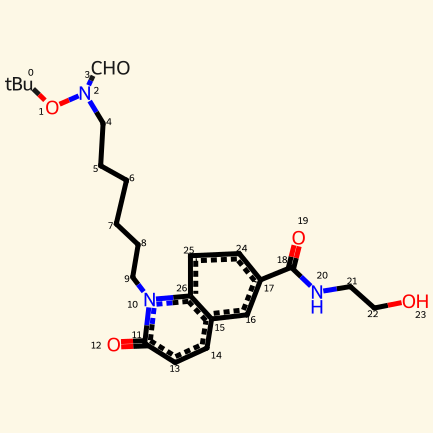 CC(C)(C)ON(C=O)CCCCCCn1c(=O)ccc2cc(C(=O)NCCO)ccc21